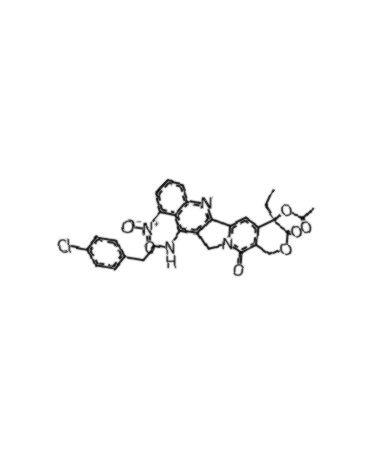 CC[C@@]1(OC(C)=O)C(=O)OCc2c1cc1n(c2=O)Cc2c-1nc1cccc([N+](=O)[O-])c1c2NCCc1ccc(Cl)cc1